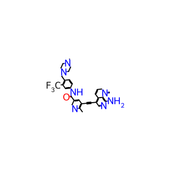 C=Nc1c(N)ncc(C#Cc2cc(C(=O)Nc3ccc(CN4CCN(C)CC4)c(C(F)(F)F)c3)cnc2C)c1/C=C\C